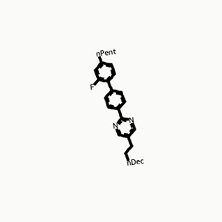 CCCCCCCCCCCCc1cnc(-c2ccc(-c3ccc(CCCCC)cc3F)cc2)nc1